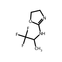 CC(NC1=NCCO1)C(F)(F)F